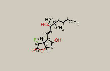 CCCCC(C)(C)C(O)/C=C/[C@@H]1[C@@H]2[C@H](C[C@H]1O)OC(=O)[C@H]2F